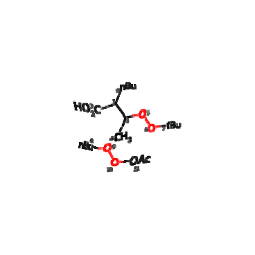 CCCCC(C(=O)O)C(C)OOC(C)(C)C.CCCCOOOC(C)=O